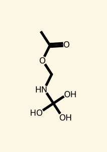 CC(=O)OCNC(O)(O)O